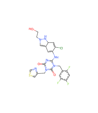 O=c1nc(NC2=CC3=CN(CCO)NC3C=C2Cl)n(Cc2cc(F)c(F)cc2F)c(=O)n1Cc1cscn1